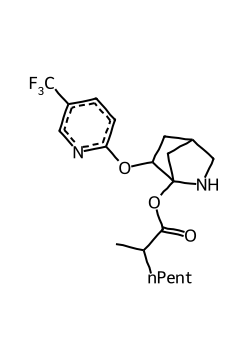 CCCCCC(C)C(=O)OC12CC(CN1)CC2Oc1ccc(C(F)(F)F)cn1